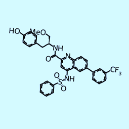 COC[C@H](Cc1ccc(O)cc1)NC(=O)c1cc(NS(=O)(=O)c2ccccc2)c2cc(-c3cccc(C(F)(F)F)c3)ccc2n1